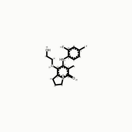 Cc1c(Nc2ccc(I)cc2F)c(OCCO)c2n(c1=O)CCC2